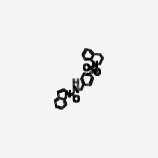 O=C(NCc1ccc(S(=O)(=O)N2CCCc3ccccc32)cc1)n1ccc2ccccc21